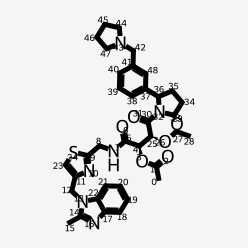 CC(=O)O[C@@H](C(=O)NCc1nc(Cn2c(C)nc3ccccc32)cs1)[C@@H](OC(C)=O)C(=O)N1CCCC1c1cccc(CN2CCCC2)c1